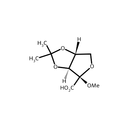 CO[C@]1(C(=O)O)OC[C@H]2OC(C)(C)O[C@@H]21